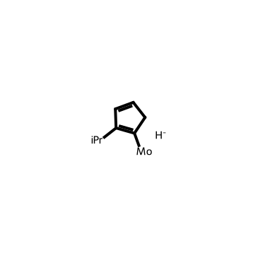 CC(C)C1=[C]([Mo])CC=C1.[H-]